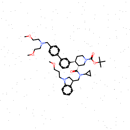 COCCCN1CC(CN(C(=O)[C@H]2CN(C(=O)OC(C)(C)C)CC[C@@H]2c2cccc(-c3ccc(CN(CCOC)CCOC)cc3)c2)C2CC2)c2ccccc21